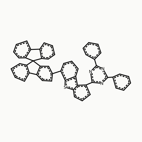 c1ccc(-c2nc(-c3ccccc3)nc(-c3cccc4sc5c(-c6ccc7c(c6)C6(c8ccccc8-c8ccccc86)c6ccccc6-7)cccc5c34)n2)cc1